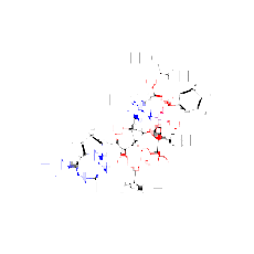 CC(C)OC(=O)[C@H](C)NP(=O)(Oc1ccccc1)OC1[C@@]2(C#N)O[C@@H](c3ccc4c(N)ncnn34)[C@H](OC(=O)C(C)C)[C@@]12OC(=O)C(C)C